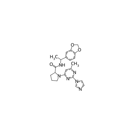 Cc1cc(N2CCCC2C(=O)NC(C)c2ccc3c(c2)OCO3)nc(-n2ccnc2)n1